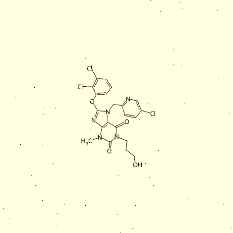 Cn1c(=O)n(CCCO)c(=O)c2c1nc(Oc1cccc(Cl)c1Cl)n2Cc1ccc(Cl)cn1